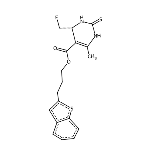 CC1=C(C(=O)OCCCc2cc3ccccc3s2)C(CF)NC(=S)N1